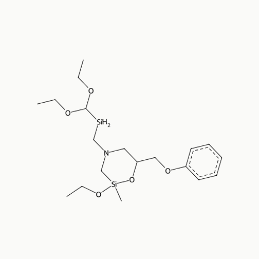 CCOC(OCC)[SiH2]CN1CC(COc2ccccc2)O[Si](C)(OCC)C1